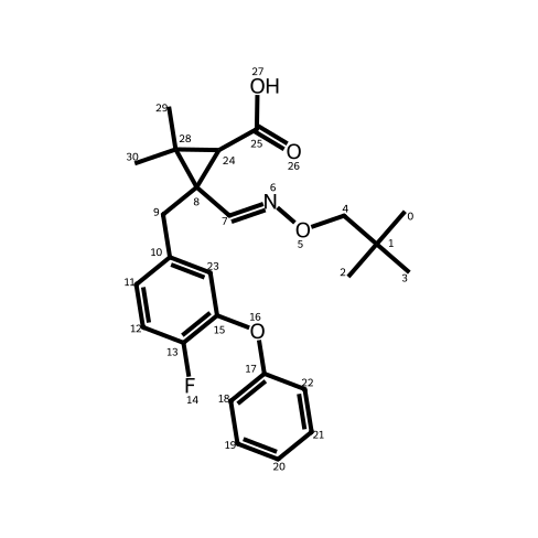 CC(C)(C)CON=CC1(Cc2ccc(F)c(Oc3ccccc3)c2)C(C(=O)O)C1(C)C